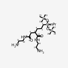 CCC[Si](CCCC(CC(=O)NCCN)C(=O)NCCN)(O[Si](C)(C)C)O[Si](C)(C)C